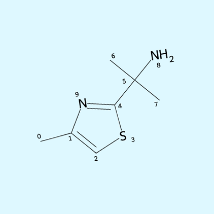 Cc1csc(C(C)(C)N)n1